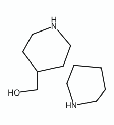 C1CCNCC1.OCC1CCNCC1